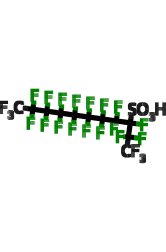 O=S(=O)(O)C(F)(C(F)(F)C(F)(F)F)C(F)(F)C(F)(F)C(F)(F)C(F)(F)C(F)(F)C(F)(F)C(F)(F)C(F)(F)F